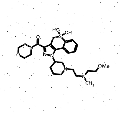 COCCN(C)CCN1CCCC(n2nc(C(=O)N3CCOCC3)c3c2-c2ccccc2S(O)(O)C3)C1